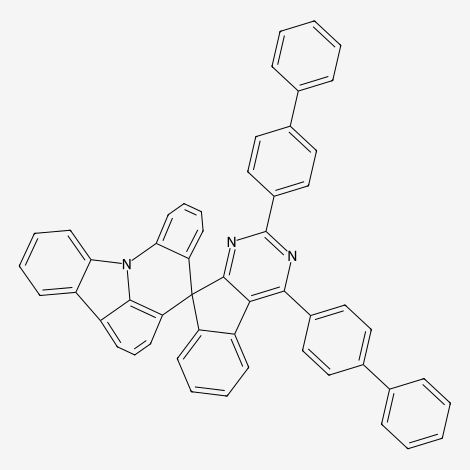 c1ccc(-c2ccc(-c3nc(-c4ccc(-c5ccccc5)cc4)c4c(n3)C3(c5ccccc5-4)c4ccccc4-n4c5ccccc5c5cccc3c54)cc2)cc1